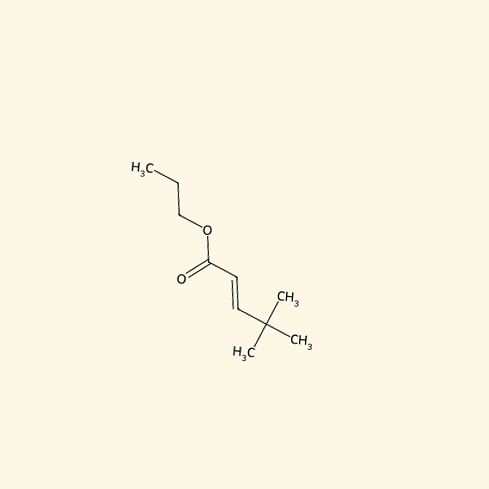 CCCOC(=O)C=CC(C)(C)C